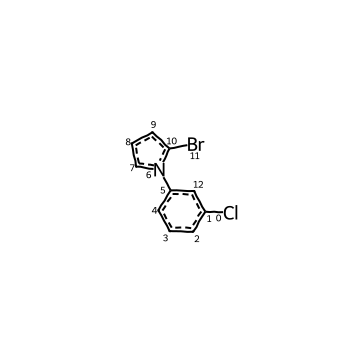 Clc1cccc(-n2cccc2Br)c1